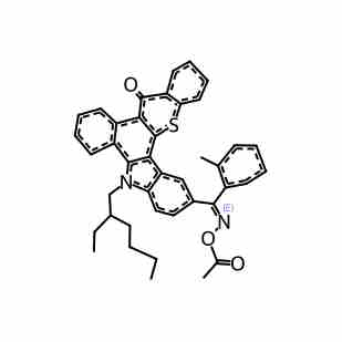 CCCCC(CC)Cn1c2ccc(/C(=N\OC(C)=O)c3ccccc3C)cc2c2c3sc4ccccc4c(=O)c3c3ccccc3c21